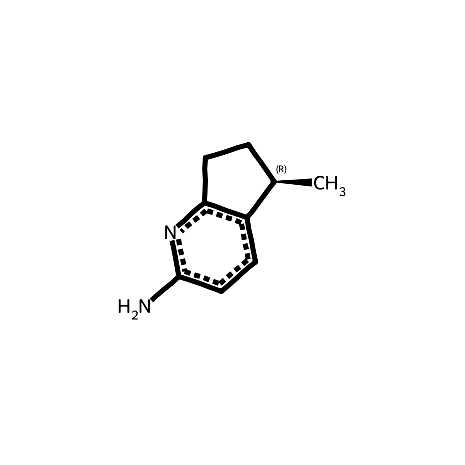 C[C@@H]1CCc2nc(N)ccc21